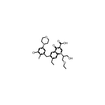 CCOCC(CO)n1cc(C(=O)O)c(=O)c2cc(Cc3cc(N4CCOCC4)cc(Cl)c3F)c(CC)cc21